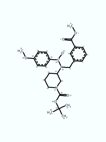 COC(=O)c1cccc(CN(C2CCCN(C(=O)OC(C)(C)C)C2)[S+]([O-])c2ccc(OC)cc2)c1